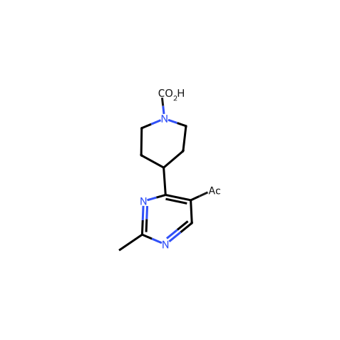 CC(=O)c1cnc(C)nc1C1CCN(C(=O)O)CC1